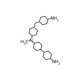 CN(C1CCC(CC2CCC(N)CC2)CC1)C1CCC(C2CCC(N)CC2)CC1